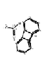 O=[PH](O)O.c1ccc2c(c1)-c1ccccc1-2